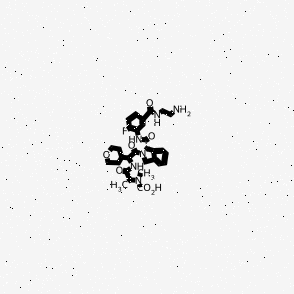 CC(C(=O)NC(C(=O)N1Cc2ccccc2[C@H]1C(=O)Nc1cc(C(=O)NCCN)ccc1F)C1CCOCC1)N(C)C(=O)O